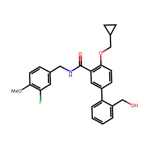 COc1ccc(CNC(=O)c2cc(-c3ccccc3CO)ccc2OCC2CC2)cc1F